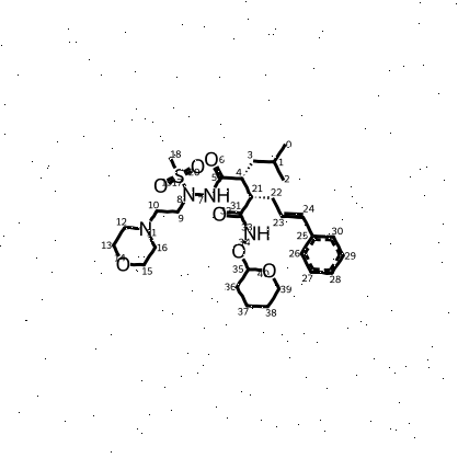 CC(C)C[C@@H](C(=O)NN(CCN1CCOCC1)S(C)(=O)=O)[C@H](CC=Cc1ccccc1)C(=O)NOC1CCCCO1